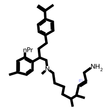 C=C(C)c1ccc(CCC(CN(C)CCCCC(C)C(C)/C=C/CN)c2ccc(C)cc2CCC)cc1